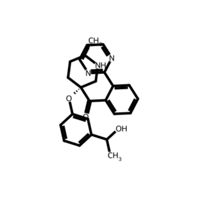 CC(O)c1cccc(O[C@]2(C(=O)c3ccccc3-c3ncccn3)CC[C@@H](C)NC2)c1